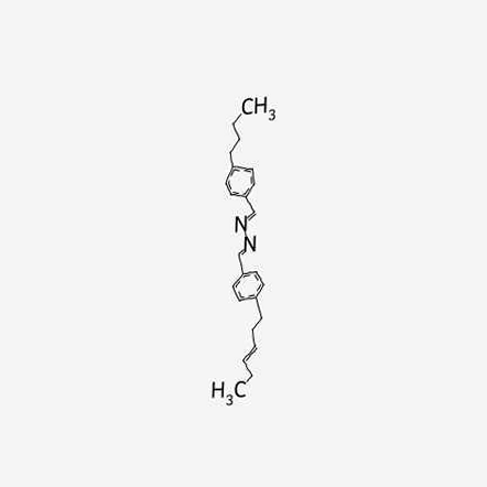 CCC=CCCc1ccc(C=NN=Cc2ccc(CCCC)cc2)cc1